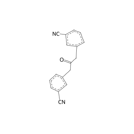 N#Cc1cccc(CC(=O)Cc2cccc(C#N)c2)c1